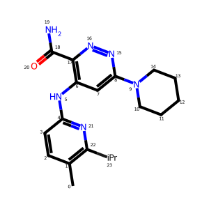 Cc1ccc(Nc2cc(N3CCCCC3)nnc2C(N)=O)nc1C(C)C